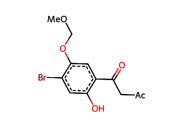 COCOc1cc(C(=O)CC(C)=O)c(O)cc1Br